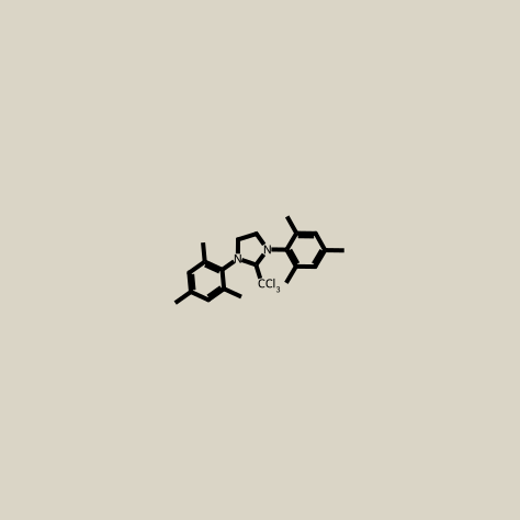 Cc1cc(C)c(N2CCN(c3c(C)cc(C)cc3C)C2C(Cl)(Cl)Cl)c(C)c1